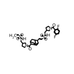 C=CS(=O)(=O)NCC1CCN(C(=O)C2C3CC4CC2CC(C3)C4/C=C/S(=O)(=O)NCC2CCN(C(=O)c3cc(F)ccc3F)C2)C1